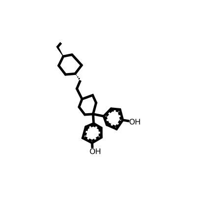 CC[C@H]1CC[C@H](CCC2CCC(c3ccc(O)cc3)(c3ccc(O)cc3)CC2)CC1